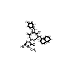 C#CCN(C(=O)NC)N1CCN(Cc2cccc3ccccc23)C(=O)[C@H](Cc2ccc(F)cc2)NC(=O)C1